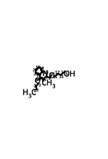 CCCCOc1c(C)c(COCCCCO)nc2ccccc12